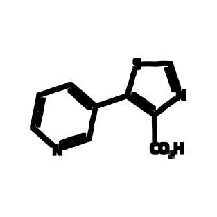 O=C(O)c1ncsc1-c1cccnc1